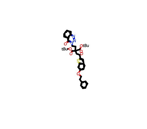 CC(C)(C)OC(=O)C(CCn1nnc2ccccc2c1=O)(CC(=O)c1cc2ccc(OCCc3ccccc3)cc2s1)C(=O)OC(C)(C)C